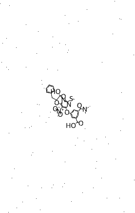 CSc1nc(Oc2cc(C(=O)O)cc(C(=O)N(C)C)c2)c([N+](=O)[O-])c(OC(Cc2ccccc2)C(=O)O)n1